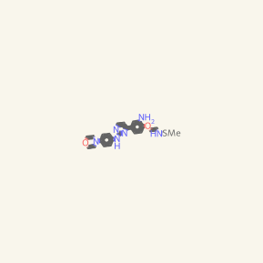 CSNCCOc1ccc(-c2ccnc(Nc3ccc(N4CCOCC4)cc3)n2)cc1N